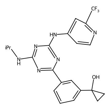 CC(C)Nc1nc(Nc2ccnc(C(F)(F)F)c2)nc(-c2cccc(C3(O)CC3)c2)n1